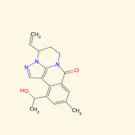 C=CC1CCn2c(=O)c3cc(C)cc(C(C)O)c3c3cnn1c32